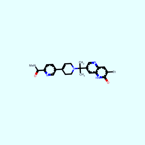 CCc1cc2ncc(C(C)(C)N3CC=C(c4ccc(C(=O)NC)nc4)CC3)cc2[nH]c1=O